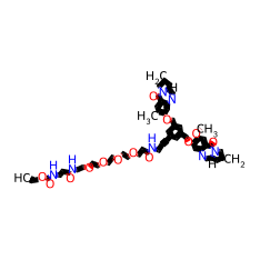 C#CCOC(=O)NCCC(=O)NCCOCCOCCOCCOCCC(=O)NCC#Cc1cc(COc2cc3c(cc2C)C(=O)N2CC(=C)C[C@H]2C=N3)cc(COc2cc3c(cc2OC)C(=O)N2CC(=C)C[C@H]2C=N3)c1